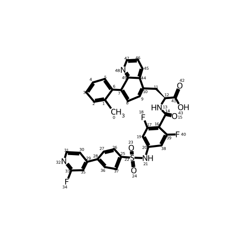 Cc1ccccc1-c1ccc(C[C@H](NC(=O)c2c(F)cc(NS(=O)(=O)c3ccc(-c4ccnc(F)c4)cc3)cc2F)C(=O)O)c2cccnc12